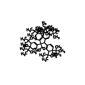 CC(C)(C)C1C=C(C(C2=CC(C(C)(C)C)C(O)(C(C)(C)C)C=C2)C(C(=O)O)(C2=CC(C(C)(C)C)C(O)(C(C)(C)C)C=C2)C2=CC(C(C)(C)C)C(O)(C(C)(C)C)C=C2)C=CC1(O)C(C)(C)C